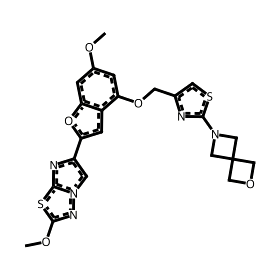 COc1cc(OCc2csc(N3CC4(COC4)C3)n2)c2cc(-c3cn4nc(OC)sc4n3)oc2c1